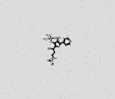 C[Si](C)(C)Oc1c(C(Br)CCN[SH](=O)=O)oc(-c2ccncc2)c1O